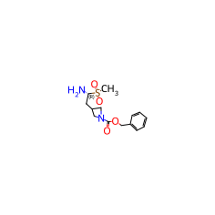 CS(=O)(=O)[C@@H](N)CC1CN(C(=O)OCc2ccccc2)C1